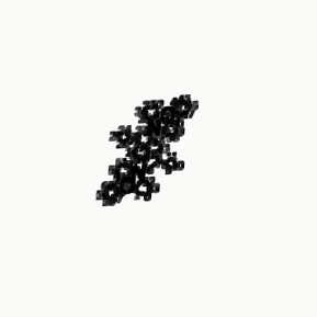 c1ccc(N(c2cc(C3CCC3)c3ccc4c5c(ccc2c35)=C(C2CCC2)CC4N(c2ccccc2)c2cccc3c2oc2ccccc23)c2cccc3c2oc2ccccc23)cc1